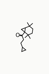 CC1(C)CCC(C)(C)C2(C(=O)CCC3CC3)CC12